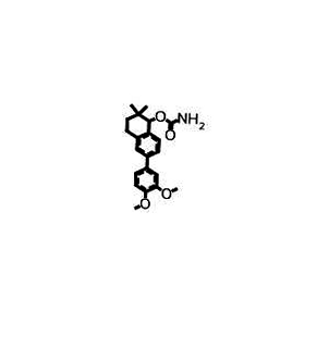 COc1ccc(-c2ccc3c(c2)CCC(C)(C)C3OC(N)=O)cc1OC